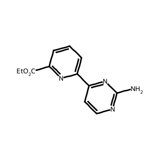 CCOC(=O)c1cccc(-c2ccnc(N)n2)n1